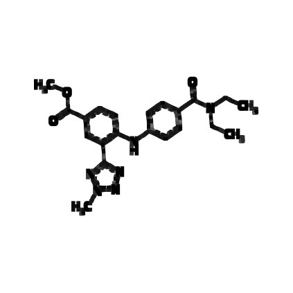 CCN(CC)C(=O)c1ccc(Nc2ccc(C(=O)OC)cc2-c2nnn(C)n2)cc1